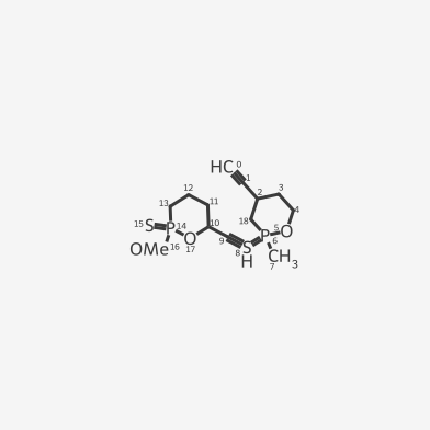 C#CC1CCOP(C)(=[SH]#CC2CCCP(=S)(OC)O2)C1